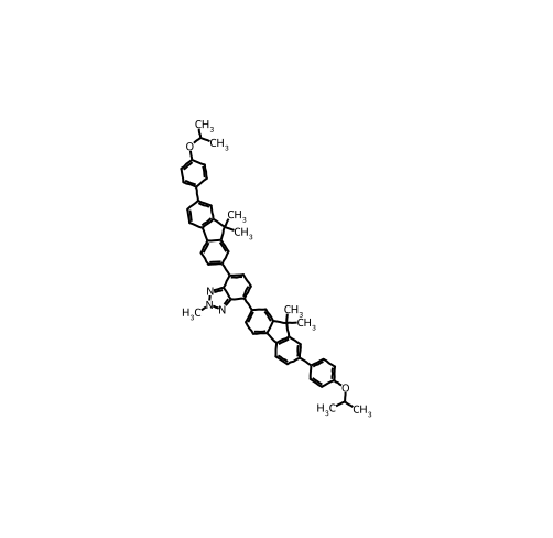 CC(C)Oc1ccc(-c2ccc3c(c2)C(C)(C)c2cc(-c4ccc(-c5ccc6c(c5)C(C)(C)c5cc(-c7ccc(OC(C)C)cc7)ccc5-6)c5nn(C)nc45)ccc2-3)cc1